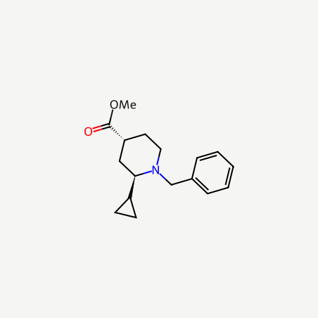 COC(=O)[C@@H]1CCN(Cc2ccccc2)[C@@H](C2CC2)C1